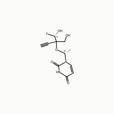 C#CC(CO)(O[C@H](C)n1ccc(=O)[nH]c1=O)[C@@H](O)F